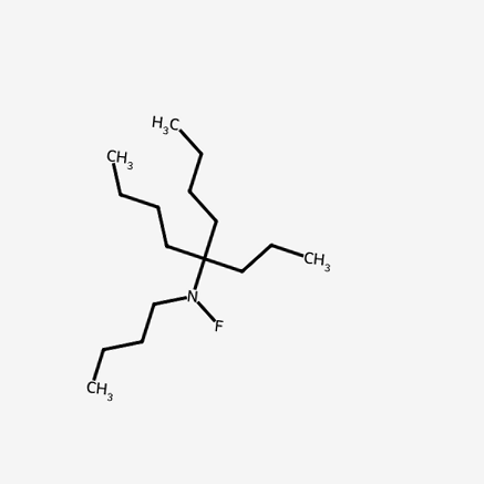 CCCCN(F)C(CCC)(CCCC)CCCC